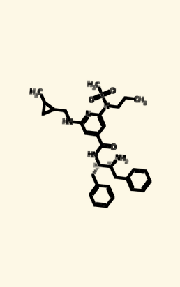 CCCN(c1cc(C(=O)N[C@@H](Cc2ccccc2)[C@@H](N)Cc2ccccc2)cc(NCC2CC2C)n1)S(C)(=O)=O